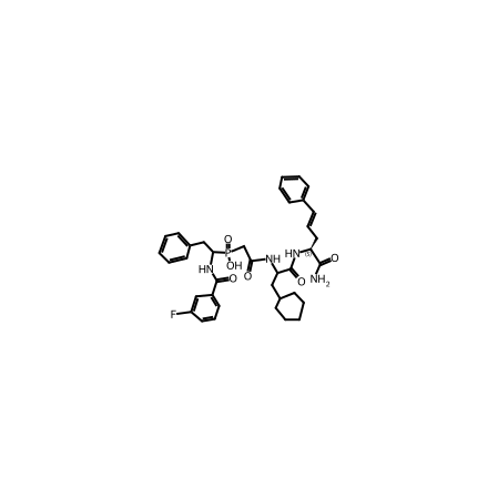 NC(=O)[C@H](CC=Cc1ccccc1)NC(=O)C(CC1CCCCC1)NC(=O)CP(=O)(O)C(Cc1ccccc1)NC(=O)c1cccc(F)c1